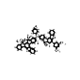 Cc1cc(C)cc(-c2cc3c(c4c2oc2ccccc24)-c2ccc(N(c4ccc5c(c4)C(C)(C)c4c6c(c7oc8ccccc8c7c4-5)-c4ccccc4C6(C)C)c4ccc(C)cc4C)cc2C3(C)C)c1